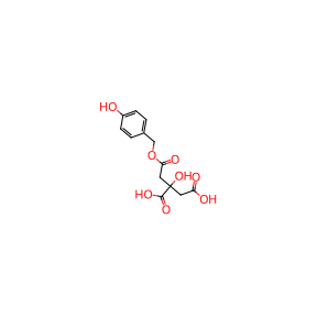 O=C(O)CC(O)(CC(=O)OCc1ccc(O)cc1)C(=O)O